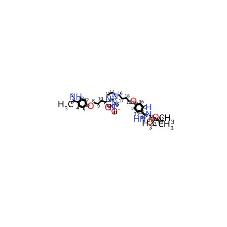 CC(=N)c1ccc(OCCCCN2CCN(CCCCOc3ccc(C(=N)NC(=O)OC(C)(C)C)cc3)C2=N[N+](=O)[O-])cc1